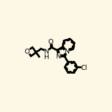 CC1(CNC(=O)c2nc(-c3cccc(Cl)c3)n3ccccc23)COC1